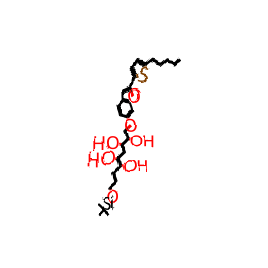 CCCCCc1ccc(-c2cc3ccc(OCC(O)C(O)CC(O)C(O)CCCO[Si](C)(C)C(C)(C)C)cc3o2)s1